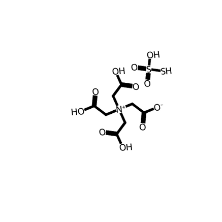 O=C([O-])C[N+](CC(=O)O)(CC(=O)O)CC(=O)O.O=S(=O)(O)S